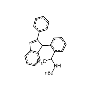 CCCCNC(C)c1ccccc1C1C(c2ccccc2)=Cc2ccccc21